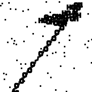 CC(=O)CCOCCOCCOCCOCCOCCCCCOCCOCCOCCOCCOCCOCCN(C[C@H](O)[C@@H](O)[C@H](O)[C@H](O)COP(=O)(O)O)C[C@H](O)[C@@H](O)[C@H](O)[C@H](O)COP(=O)(O)O